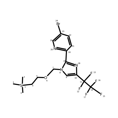 C[Si](C)(C)CCOCn1cc(C(F)(F)C(F)(F)F)nc1-c1ccc(Br)cn1